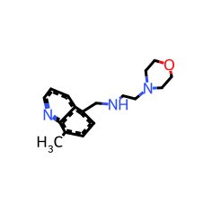 Cc1ccc(CNCCN2CCOCC2)c2cccnc12